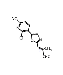 C/C(C=O)=C\c1ncc(-c2ccc(C#N)nc2Cl)o1